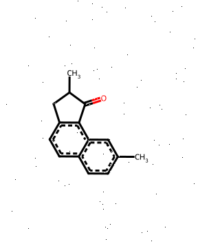 Cc1ccc2ccc3c(c2c1)C(=O)C(C)C3